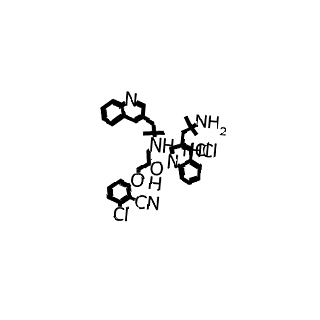 CC(C)(Cc1cnc2ccccc2c1)NC[C@@H](O)COc1cccc(Cl)c1C#N.CC(C)(N)Cc1cnc2ccccc2c1.Cl.Cl